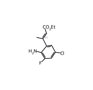 CCOC(=O)/C=C(\C)c1cc(Cl)cc(F)c1N